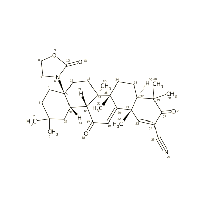 CC1(C)CC[C@]2(N3CCOC3=O)CC[C@]3(C)[C@H](C(=O)C=C4[C@@]5(C)C=C(C#N)C(=O)C(C)(C)[C@@H]5CC[C@]43C)[C@@H]2C1